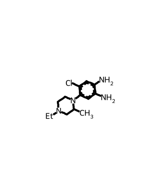 CCN1CCN(c2cc(N)c(N)cc2Cl)C(C)C1